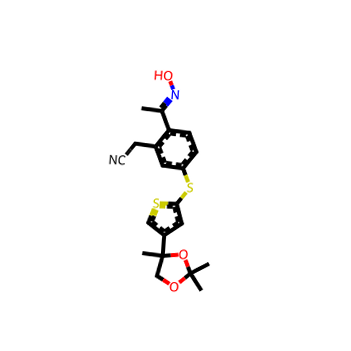 C/C(=N\O)c1ccc(Sc2cc(C3(C)COC(C)(C)O3)cs2)cc1CC#N